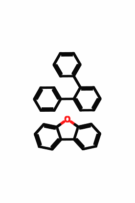 c1ccc(-c2ccccc2-c2ccccc2)cc1.c1ccc2c(c1)oc1ccccc12